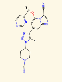 Cc1c(-c2cc(O[C@H](C)c3ccncn3)n3c(C#N)cnc3c2)nnn1C1CCN(C#N)CC1